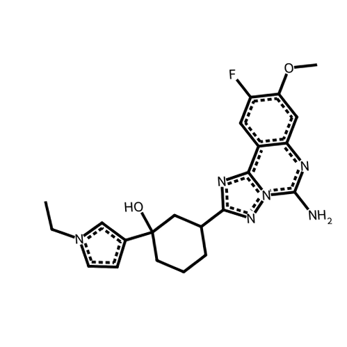 CCn1ccc(C2(O)CCCC(c3nc4c5cc(F)c(OC)cc5nc(N)n4n3)C2)c1